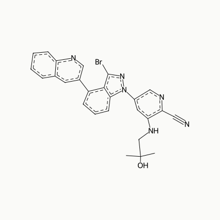 CC(C)(O)CNc1cc(-n2nc(Br)c3c(-c4cnc5ccccc5c4)cccc32)cnc1C#N